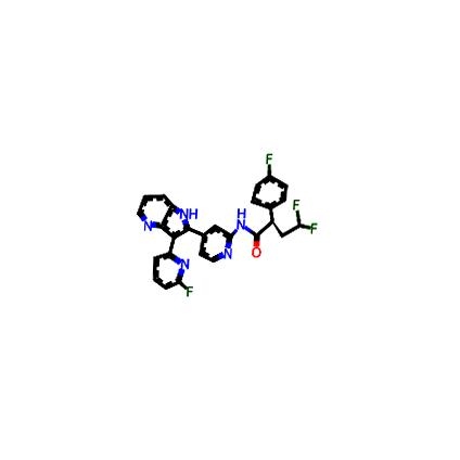 O=C(Nc1cc(-c2[nH]c3cccnc3c2-c2cccc(F)n2)ccn1)[C@H](CC(F)F)c1ccc(F)cc1